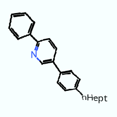 CCCCCCCc1ccc(-c2ccc(-c3ccccc3)nc2)cc1